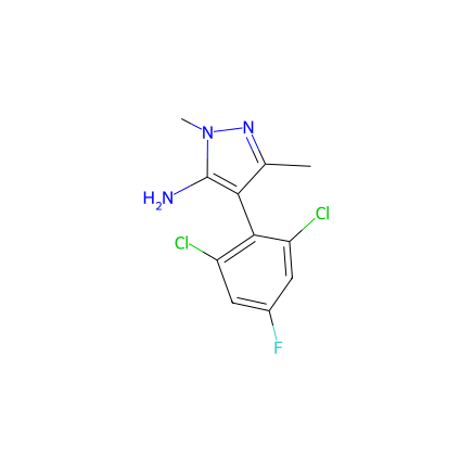 Cc1nn(C)c(N)c1-c1c(Cl)cc(F)cc1Cl